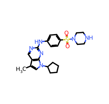 Cc1cn(C2CCCC2)c2nc(Nc3ccc(S(=O)(=O)N4CCNCC4)cc3)ncc12